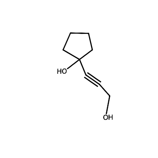 OCC#CC1(O)CCCC1